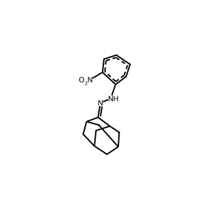 O=[N+]([O-])c1ccccc1NN=C1C2CC3CC(C2)CC1C3